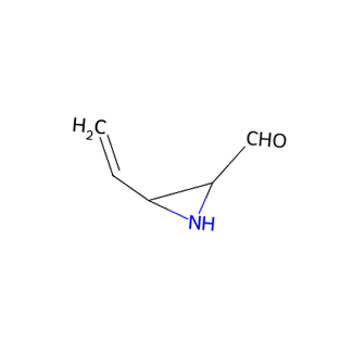 C=CC1NC1C=O